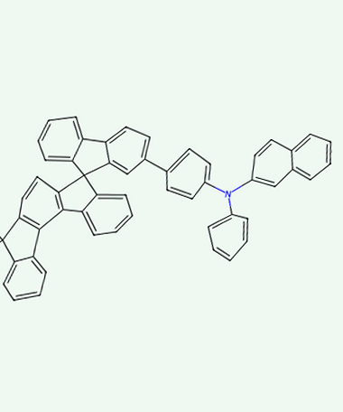 CC1(C)c2ccccc2-c2c1ccc1c2-c2ccccc2C12c1ccccc1-c1ccc(-c3ccc(N(c4ccccc4)c4ccc5ccccc5c4)cc3)cc12